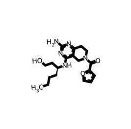 CCCC[C@@H](CCO)Nc1nc(N)nc2c1CN(C(=O)c1ccco1)CC2